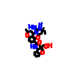 CC[C@]1(C)CC(=O)N(C2CC(C)Oc3ccc(C(=O)N[C@@H]4c5ccccc5OC[C@@]4(C)CO)cc32)C(=N)N1